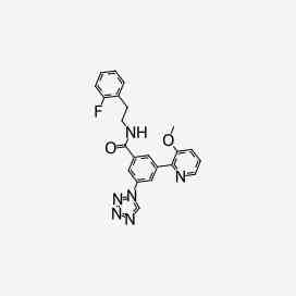 COc1cccnc1-c1cc(C(=O)NCCc2ccccc2F)cc(-n2cnnn2)c1